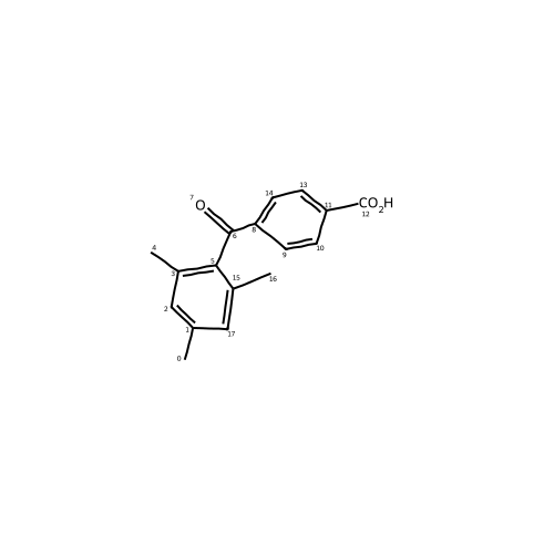 Cc1cc(C)c(C(=O)c2ccc(C(=O)O)cc2)c(C)c1